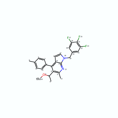 Cc1ccc(-c2c(C(C)OC(C)(C)C)c(C)nc3c2ccn3Cc2cc(F)c(F)c(F)c2)cc1